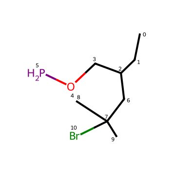 CCC(COP)CC(C)(C)Br